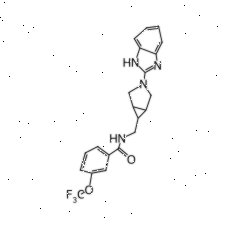 O=C(NCC1C2CN(c3nc4ccccc4[nH]3)CC12)c1cccc(OC(F)(F)F)c1